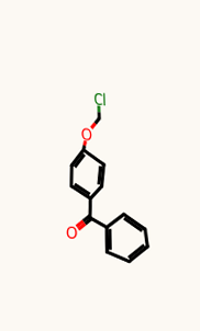 O=C(c1ccccc1)c1ccc(OCCl)cc1